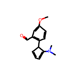 COc1ccc(C2C=CC=C2N(C)C)c(C=O)c1